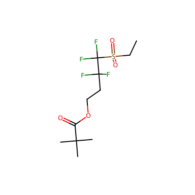 CCS(=O)(=O)C(F)(F)C(F)(F)CCOC(=O)C(C)(C)C